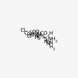 Nc1ncnc(SCSC2=C(C(=O)O)N3C(=O)[C@@H](NC(=O)CSc4cc(Cl)ccc4Cl)[C@H]3SC2)c1N